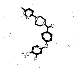 Cc1ccc(N2CCN(C(=O)c3ccc(Oc4ccc(C(F)(F)F)c(F)c4)cc3)CC2)nn1